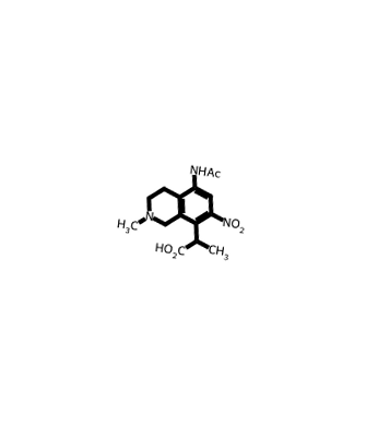 CC(=O)Nc1cc([N+](=O)[O-])c(C(C)C(=O)O)c2c1CCN(C)C2